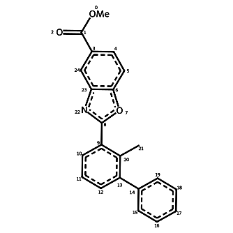 COC(=O)c1ccc2oc(-c3cccc(-c4ccccc4)c3C)nc2c1